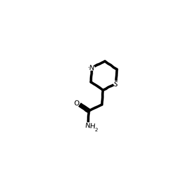 NC(=O)CC1C[N]CCS1